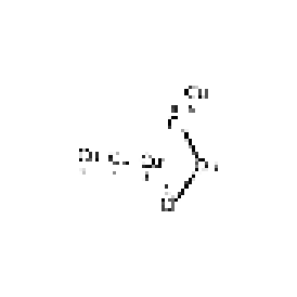 ClOCl.[Cu].[Cu].[Cu].[Cu]